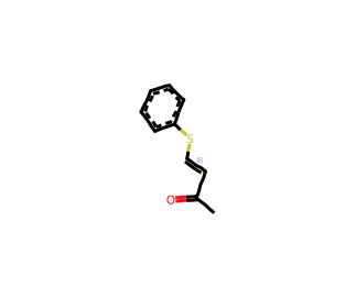 CC(=O)/C=C/Sc1ccccc1